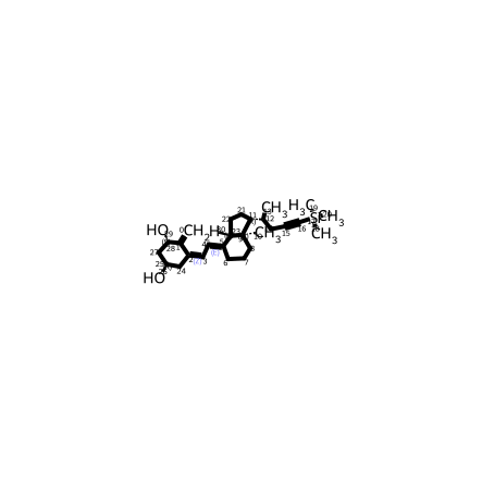 C=C1/C(=C\C=C2/CCC[C@]3(C)[C@@H](C(C)CC#C[Si](C)(C)C)CC[C@@H]23)C[C@@H](O)C[C@@H]1O